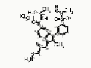 Cc1c(-c2cccc(S(=O)(=O)N(C)C)c2)c2nc(C(=O)NC(C)C)ccc2n1C/C(F)=C/CN.Cl.Cl